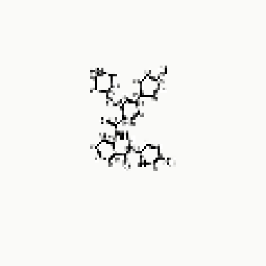 O=C(Nc1ccc(Cl)cn1)c1ccccc1NC(=O)c1ccc(-c2ccc(Cl)cc2)cc1OC1CCNCC1